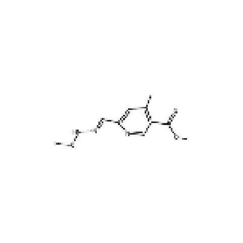 COC(=O)c1cnc(/C=N/NSI)cc1C